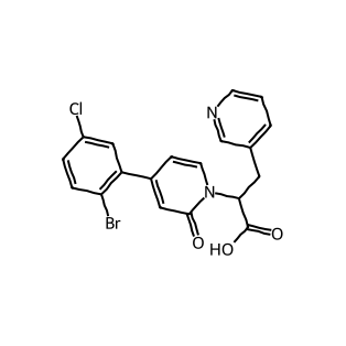 O=C(O)C(Cc1cccnc1)n1ccc(-c2cc(Cl)ccc2Br)cc1=O